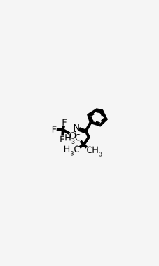 CC(C)(C)C/C(=N\OC(F)(F)F)c1ccccc1